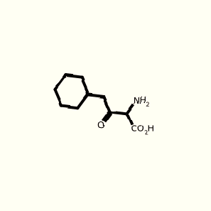 NC(C(=O)O)C(=O)CC1CCCCC1